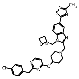 Cc1nsc(-c2ccc3c(c2)nc(CN2CCC(Oc4ccnc(Cc5ccc(Cl)cc5)n4)CC2)n3C[C@@H]2CCO2)n1